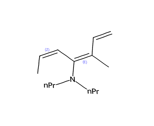 C=C/C(C)=C(\C=C/C)N(CCC)CCC